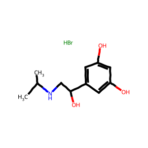 Br.CC(C)NCC(O)c1cc(O)cc(O)c1